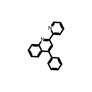 c1ccc(-c2cc(-c3ccccn3)nc3ccccc23)cc1